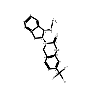 CO[C@@H]1c2ccccc2C[C@@H]1N1Cc2ccc(C(F)(F)F)cc2NC1=N